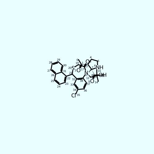 CC(=O)[C@@H]1CCN[C@@]1(C(=O)O)[N@@+]1(CC(C)(C)C)C(=O)CSC(c2cccc3ccccc23)c2cc(Cl)ccc21